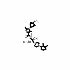 Cc1cccc(N2CCN(CC(O)CNC(=O)c3nc(C)n(-c4ccc(C(F)(F)F)cc4)c3C)CC2)c1C.Cl.Cl